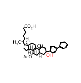 CC(=O)O[C@@H]1C[C@@H]2C[C@](O)(c3ccc(-c4ccccc4)cc3)CC[C@]2(C)[C@H]2CC[C@]3(C)[C@@H]([C@H](C)CCCCC(=O)O)CC[C@H]3[C@H]12